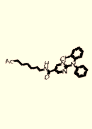 CC(=O)CCCCCCNC(=O)c1cnc(N(c2ccccc2)c2ccccc2Cl)nc1